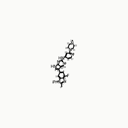 Cc1nc2c(F)cc(-c3c[nH]c4nc(Nc5ccnc(N6CCN(C)CC6)c5)ncc34)cc2n1C(C)C